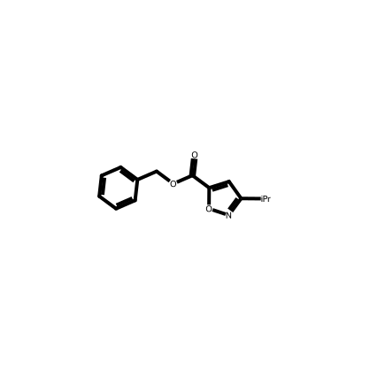 CC(C)c1cc(C(=O)OCc2ccccc2)on1